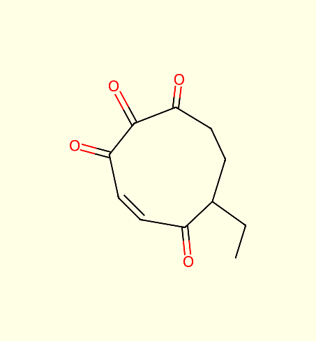 CCC1CCC(=O)C(=O)C(=O)C=CC1=O